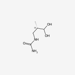 C[C@@H](CNC(N)=O)C(O)O